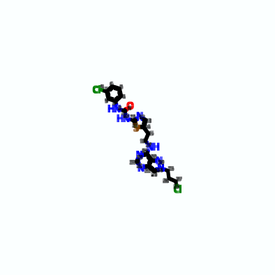 O=C(Nc1cccc(Cl)c1)Nc1ncc(CCNc2ncnc3cn(CCCCl)nc23)s1